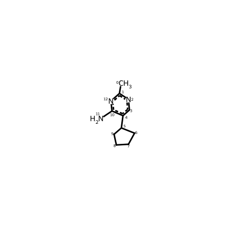 Cc1ncc(C2CCCC2)c(N)n1